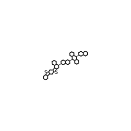 c1ccc2cc(-c3c4ccccc4c(-c4ccc5cc(-c6cc7sc8cc9c(cc8c7c7ccccc67)sc6ccccc69)ccc5c4)c4ccccc34)ccc2c1